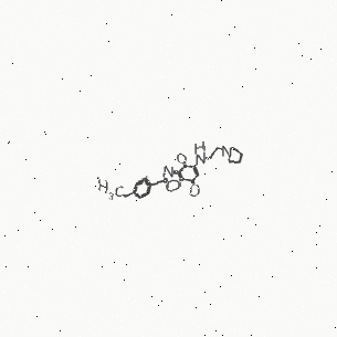 CCc1ccc(-c2nc3c(o2)C(=O)C=C(NCCN2CCCC2)C3=O)cc1